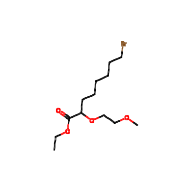 CCOC(=O)C(CCCCCCBr)OCCOC